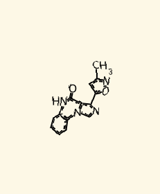 Cc1cc(-c2ncn3c2c(=O)[nH]c2ccccc23)on1